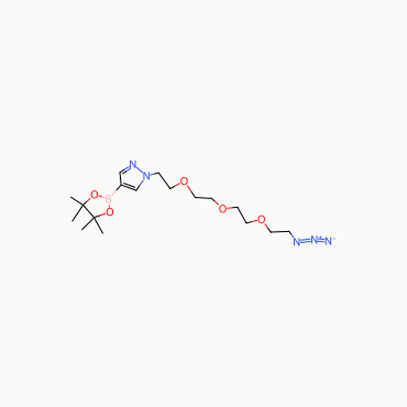 CC1(C)OB(c2cnn(CCOCCOCCOCCN=[N+]=[N-])c2)OC1(C)C